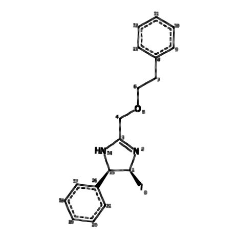 I[C@@H]1N=C(COCCc2ccccc2)N[C@@H]1c1ccccc1